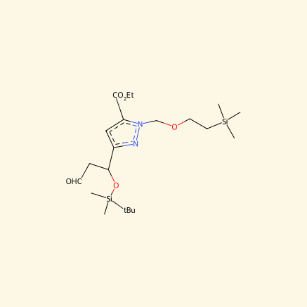 CCOC(=O)c1cc(C(CC=O)O[Si](C)(C)C(C)(C)C)nn1COCC[Si](C)(C)C